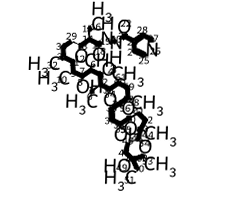 CC[C@@H](C(=O)[C@@H](C)[C@@H](O)[C@H](C)[C@@H]1O[C@@H]([C@@H](CC)C(=O)NNC(=O)c2ccncc2)CCC1C)[C@H]1O[C@]2(C=C[C@@H](O)[C@]3(CC[C@@](C)([C@H]4CC[C@](O)(CC)[C@H](C)O4)O3)O2)[C@H](C)C[C@@H]1C